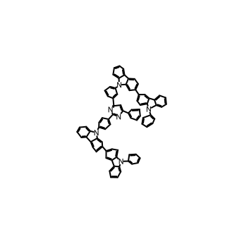 c1ccc(-c2cc(-c3cccc(-n4c5ccccc5c5ccc(-c6ccc7c(c6)c6ccccc6n7-c6ccccc6)cc54)c3)nc(-c3ccc(-n4c5ccccc5c5ccc(-c6ccc7c(c6)c6ccccc6n7-c6ccccc6)cc54)cc3)n2)cc1